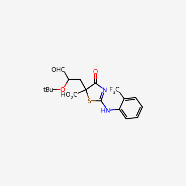 CC(C)(C)OC(C=O)CC1(C(=O)O)SC(Nc2ccccc2C(F)(F)F)=NC1=O